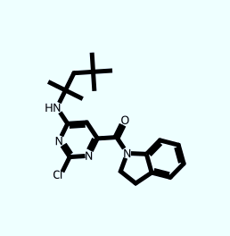 CC(C)(C)CC(C)(C)Nc1cc(C(=O)N2CCc3ccccc32)nc(Cl)n1